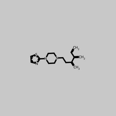 C=CC(=C)C(=C)CCN1CCN(c2nccs2)CC1